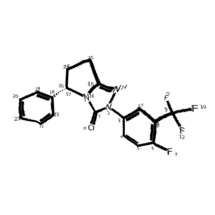 O=c1n(-c2ccc(F)c(C(F)(F)F)c2)nc2n1[C@H](c1ccccc1)CC2